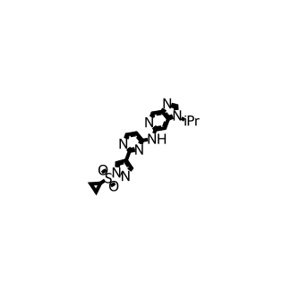 CC(C)n1cnc2cnc(Nc3ccnc(-c4cnn(S(=O)(=O)C5CC5)c4)n3)cc21